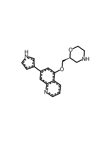 c1cnc2cc(-c3cc[nH]c3)cc(OC[C@@H]3CNCCO3)c2c1